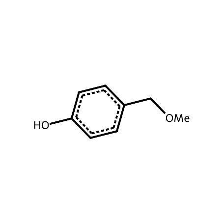 COCc1ccc(O)cc1